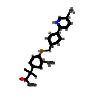 COC(=O)C(C)(C)c1ccc(SCc2ccc(-c3ccc(C(F)(F)F)cn3)cc2)c(OC)c1